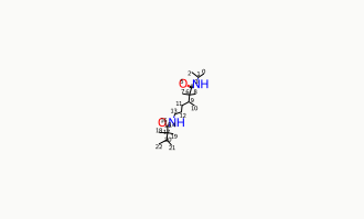 CC(C)NC(=O)C(C)(C)C(C)CCCNC(=O)C(C)(C)C(C)C